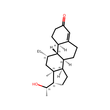 CC[C@H]1C[C@@]2(C)[C@H](CC[C@@H]2[C@H](C)O)[C@@H]2CCC3=CC(=O)CC[C@@H]3[C@@H]12